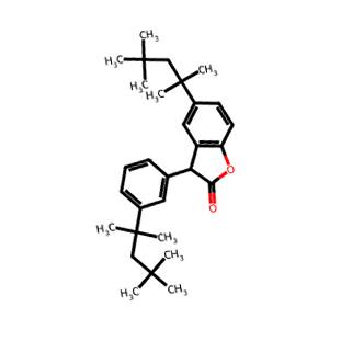 CC(C)(C)CC(C)(C)c1cc[c]c(C2C(=O)Oc3ccc(C(C)(C)CC(C)(C)C)cc32)c1